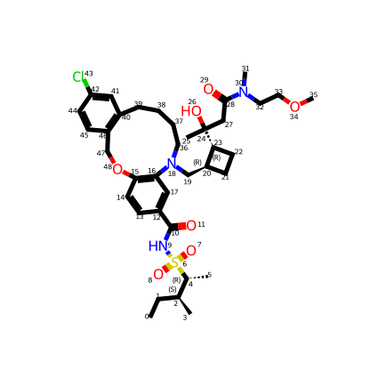 CC[C@H](C)[C@@H](C)S(=O)(=O)NC(=O)c1ccc2c(c1)N(C[C@@H]1CC[C@H]1C(C)(O)CC(=O)N(C)CCOC)CCCCc1cc(Cl)ccc1CO2